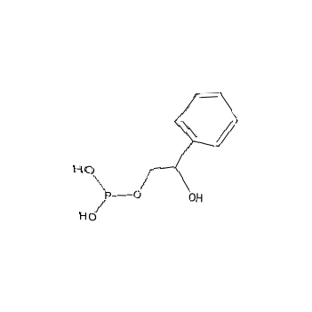 OC(COP(O)O)c1ccccc1